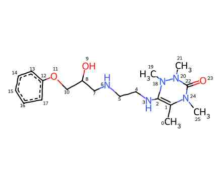 CC1=C(NCCNCC(O)COc2ccccc2)N(C)N(C)C(=O)N1C